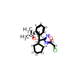 C[Si](C)(C)O[C@](c1ccccc1)(c1noc(CCl)n1)C1CCCCC1